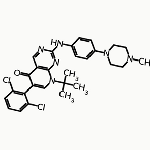 CN1CCN(c2ccc(Nc3ncc4c(=O)c(-c5c(Cl)cccc5Cl)cn(C(C)(C)C)c4n3)cc2)CC1